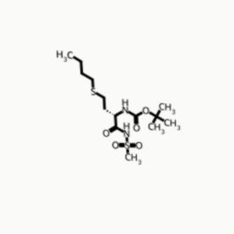 CCCCSCC[C@H](NC(=O)OC(C)(C)C)C(=O)NS(C)(=O)=O